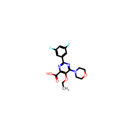 CCOc1c(C(=O)O)nc(-c2cc(F)cc(F)c2)nc1N1CCOCC1